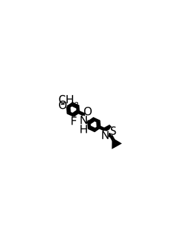 COc1ccc(C(=O)Nc2ccc(-c3csc(C4CC4)n3)cc2)c(F)c1